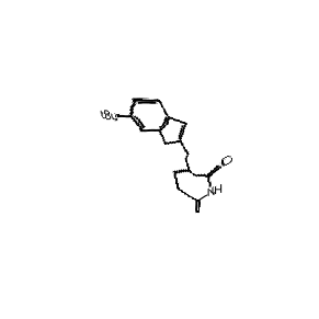 C=C1CCC(CC2=Cc3ccc(C(C)(C)C)cc3C2)C(=O)N1